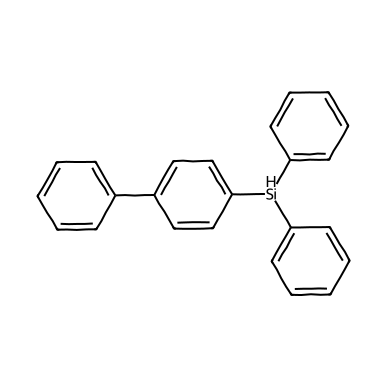 c1ccc(-c2ccc([SiH](c3ccccc3)c3ccccc3)cc2)cc1